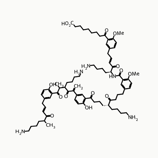 C=C(C(=O)C(CCCCN)C(C)C(=O)c1cc(C/C=C/C(=O)C(C)CCCCN)ccc1O)c1ccc(O)c(C(=O)CCC[C@@H](CCCCN)C(=O)CCCc2ccc(OC)c(C(=O)N[C@@H](CCCCN)C(=O)/C=C/Cc3ccc(OC)c(C(=O)CCCCCCCC(=O)O)c3)c2)c1